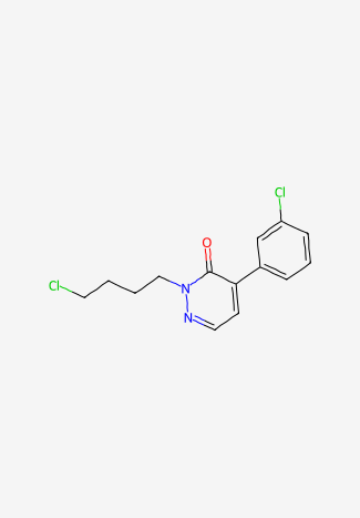 O=c1c(-c2cccc(Cl)c2)ccnn1CCCCCl